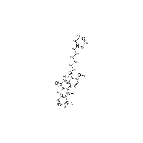 COc1ccc2c(Nc3c(C)cncc3C)cc(=O)[nH]c2c1OCCCCCCN1CCOCC1